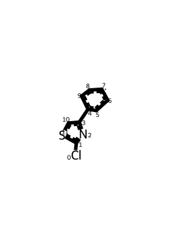 Clc1nc(-c2cc[c]cc2)cs1